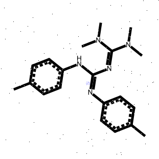 Cc1ccc(/N=C(\N=C(N(C)C)N(C)C)Nc2ccc(C)cc2)cc1